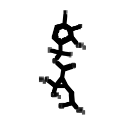 Cc1c(C(F)(F)OC(=O)C2C(C=C(Cl)C(F)(F)F)C2(C)C)ccc(F)c1F